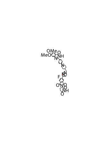 COc1cc(OC)c2c(=O)[nH]c(-c3ccc(N4CCC(CN5CC6CCC5CN6c5cc6c(cc5F)C(=O)N(C5CCC(=O)NC5=O)C6=O)CC4)cc3)nc2c1